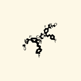 CC(=O)n1cc(-c2cc3c(/C=C/c4ccc(F)cc4)nn(C(C)C(=O)C(C)n4nc(/C=C/c5ccc(F)cc5)c5cc(-c6cnn(C(C)=O)c6)c(F)cc54)c3cc2F)cn1